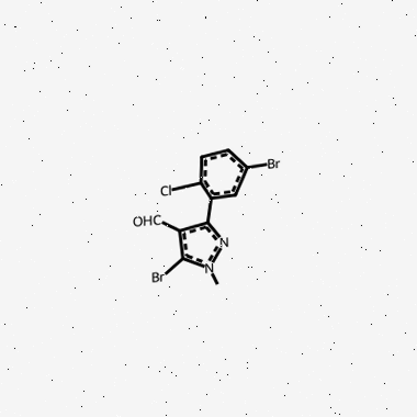 Cn1nc(-c2cc(Br)ccc2Cl)c(C=O)c1Br